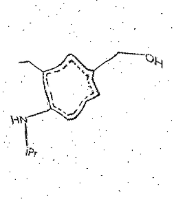 Cc1cc(CO)ccc1NC(C)C